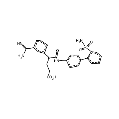 N=C(N)c1cccc(N(CCC(=O)O)C(=O)Nc2ccc(-c3ccccc3S(N)(=O)=O)cc2)c1